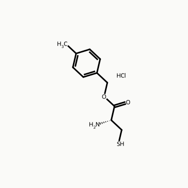 Cc1ccc(COC(=O)[C@@H](N)CS)cc1.Cl